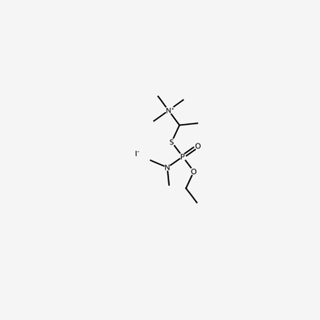 CCOP(=O)(SC(C)[N+](C)(C)C)N(C)C.[I-]